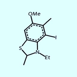 CCN1c2c(cc(OC)c(C)c2I)SC1C